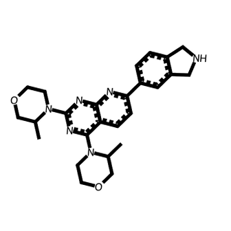 CC1COCCN1c1nc(N2CCOCC2C)c2ccc(-c3ccc4c(c3)CNC4)nc2n1